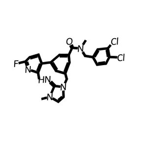 Cc1nc(F)ccc1-c1cc(Cn2ccn(C)c2=N)cc(C(=O)N(C)Cc2ccc(Cl)c(Cl)c2)c1